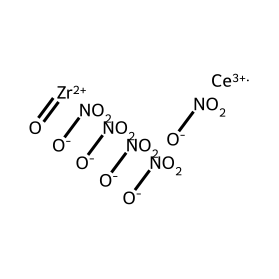 O=[N+]([O-])[O-].O=[N+]([O-])[O-].O=[N+]([O-])[O-].O=[N+]([O-])[O-].O=[N+]([O-])[O-].[Ce+3].[O]=[Zr+2]